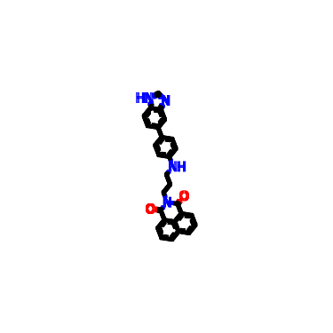 O=C1c2cccc3cccc(c23)C(=O)N1CCCNc1ccc(-c2ccc3[nH]cnc3c2)cc1